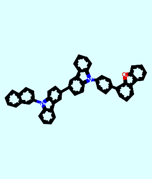 c1ccc2cc(-n3c4ccccc4c4cc(-c5ccc6c(c5)c5ccccc5n6-c5ccc(-c6cccc7c6oc6ccccc67)cc5)ccc43)ccc2c1